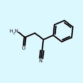 N#CC(CC(N)=O)c1ccccc1